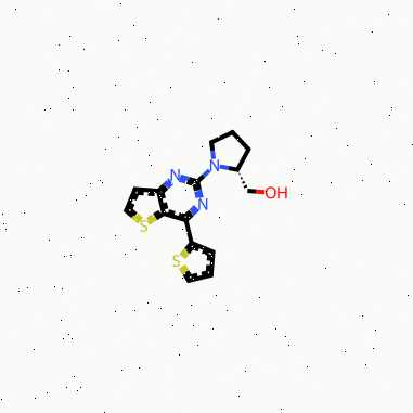 OC[C@H]1CCCN1c1nc(-c2cccs2)c2sccc2n1